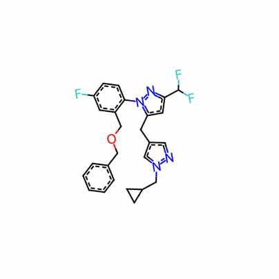 Fc1ccc(-n2nc(C(F)F)cc2Cc2cnn(CC3CC3)c2)c(COCc2ccccc2)c1